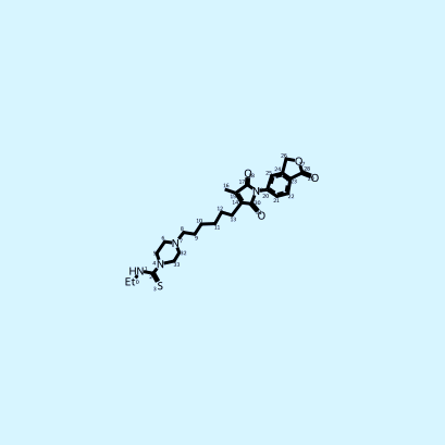 CCNC(=S)N1CCN(CCCCCCC2=C(C)C(=O)N(c3ccc4c(c3)COC4=O)C2=O)CC1